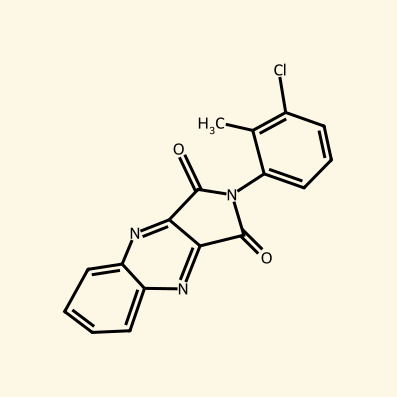 Cc1c(Cl)cccc1N1C(=O)c2nc3ccccc3nc2C1=O